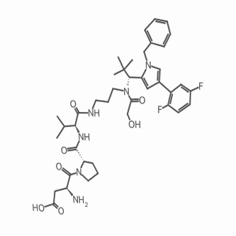 CC(C)[C@H](NC(=O)[C@@H]1CCCN1C(=O)[C@@H](N)CC(=O)O)C(=O)NCCCN(C(=O)CO)[C@@H](c1cc(-c2cc(F)ccc2F)cn1Cc1ccccc1)C(C)(C)C